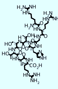 CC(C)[C@H](NC(=O)[C@@H](NC(=O)[C@H](CO)NC(=O)[C@@H](NC(=O)[C@H](Cc1c[nH]cn1)NC(=O)CNC(=O)[C@H](CCCNC(=N)N)NC(=O)[C@@H](N)CCCNC(=N)N)[C@@H](C)O)[C@@H](C)O)C(=O)N[C@@H](CCCNC(=N)N)C(=O)O